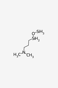 CN(C)CCC[SiH2]O[SiH3]